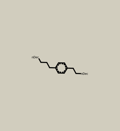 CCCCCCCCCCCCCc1ccc(CCCCCCCCCCCC)cc1